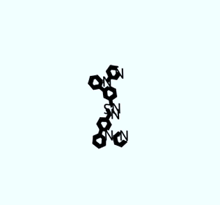 c1cncc(-n2c3ccccc3c3cc(-c4nnc(-c5ccc6c7ccccc7n(-c7cccnc7)c6c5)s4)ccc32)c1